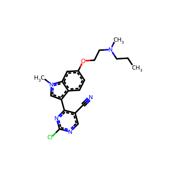 CCCN(C)CCOc1ccc2c(-c3nc(Cl)ncc3C#N)cn(C)c2c1